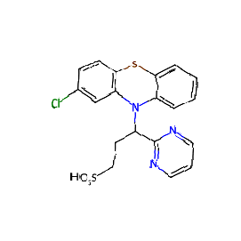 O=S(=O)(O)CCC(c1ncccn1)N1c2ccccc2Sc2ccc(Cl)cc21